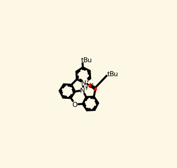 CC(C)(C)c1cc[n+]2c(c1)-c1cccc3c1[N+]21c2c(cccc2-c2cc(C(C)(C)C)cc[n+]21)O3